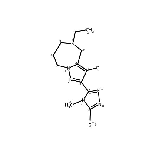 CCN1CCCn2nc(-c3nnc(C)n3C)c(Cl)c2C1